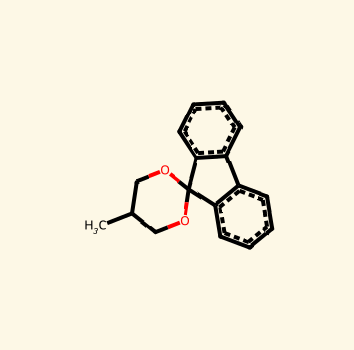 CC1COC2(OC1)c1ccccc1-c1ccccc12